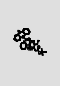 CC(C)(C)OC(=O)CC(NC(=O)[C@@H]1CCCCN1C(=O)N1c2ccccc2Sc2ccccc21)C(=O)CF